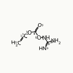 C=CCOC(=O)ONC(=N)N